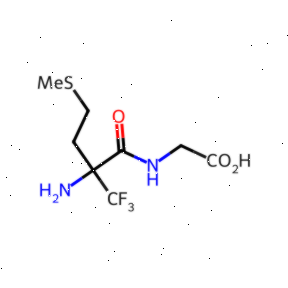 CSCCC(N)(C(=O)NCC(=O)O)C(F)(F)F